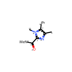 CNC(=O)c1nc(C)c(C(C)C)n1C